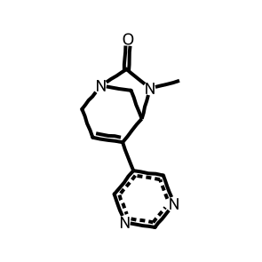 CN1C(=O)N2CC=C(c3cncnc3)C1C2